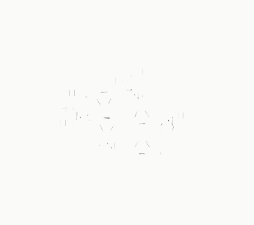 CNC(CCc1ccc(OC)cc1)c1cccc(OC(=O)N(C)C)c1.COc1ccc(CCC(c2cccc(OC(=O)N(C)C)c2)N(C)C(=O)OC(C)(C)C)cc1